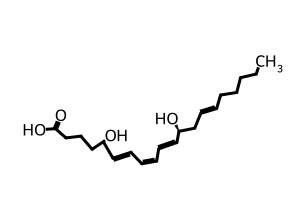 CCCCCC=CC[C@H](O)C=C/C=C\C=C\[C@@H](O)CCCC(=O)O